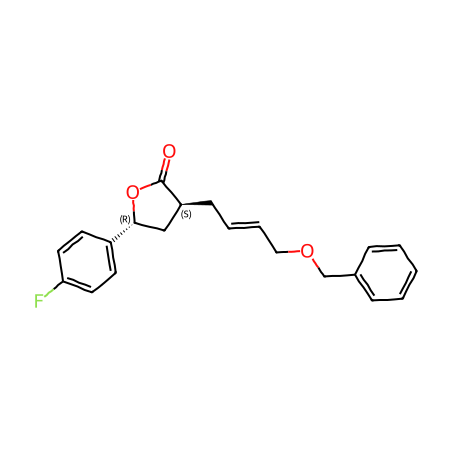 O=C1O[C@@H](c2ccc(F)cc2)C[C@@H]1CC=CCOCc1ccccc1